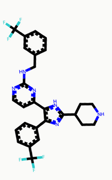 FC(F)(F)c1cccc(CNc2nccc(-c3[nH]c(C4CCNCC4)nc3-c3cccc(C(F)(F)F)c3)n2)c1